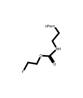 CCCCCCCNC(=O)OCCF